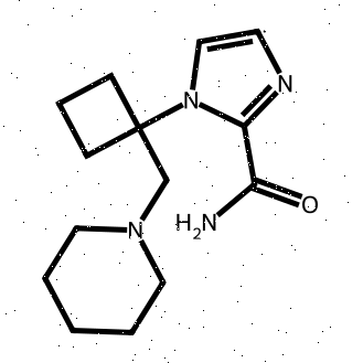 NC(=O)c1n[c]cn1C1(CN2CCCCC2)CCC1